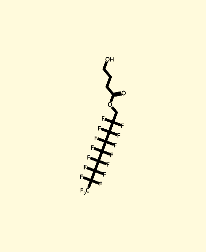 O=C(CCCO)OCC(F)(F)C(F)(F)C(F)(F)C(F)(F)C(F)(F)C(F)(F)C(F)(F)C(F)(F)F